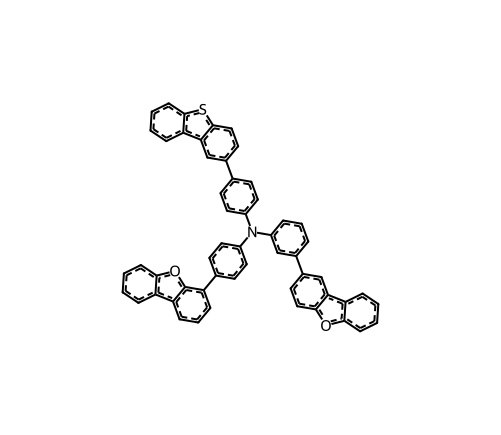 c1cc(-c2ccc3oc4ccccc4c3c2)cc(N(c2ccc(-c3ccc4sc5ccccc5c4c3)cc2)c2ccc(-c3cccc4c3oc3ccccc34)cc2)c1